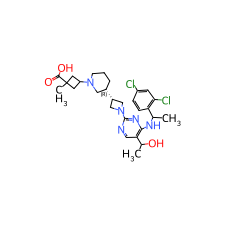 CC(O)c1cnc(N2CC([C@H]3CCCN(C4CC(C)(C(=O)O)C4)C3)C2)nc1NC(C)c1ccc(Cl)cc1Cl